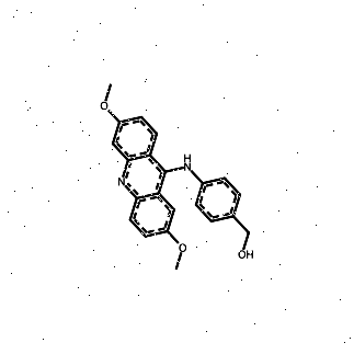 COc1ccc2c(Nc3ccc(CO)cc3)c3cc(OC)ccc3nc2c1